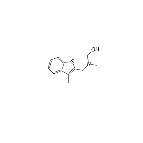 Cc1c(CN(C)CO)sc2ccccc12